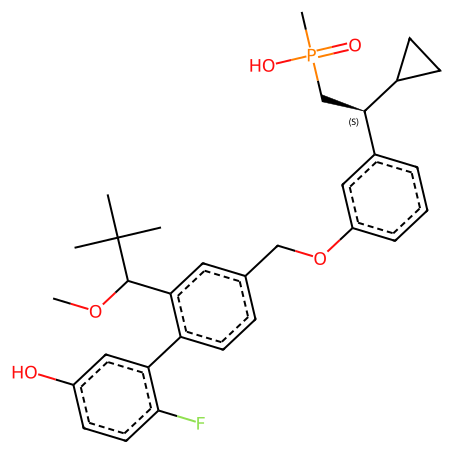 COC(c1cc(COc2cccc([C@@H](CP(C)(=O)O)C3CC3)c2)ccc1-c1cc(O)ccc1F)C(C)(C)C